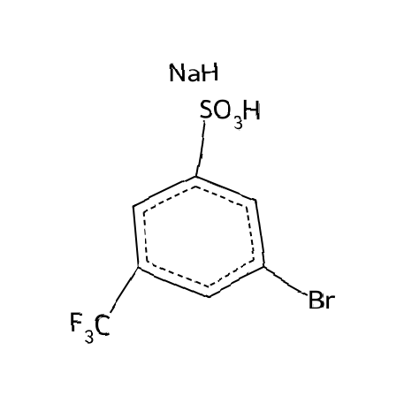 O=S(=O)(O)c1cc(Br)cc(C(F)(F)F)c1.[NaH]